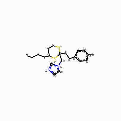 CCCCC1CCSC(CCc2ccc(C)cc2)(Cn2ccnc2)S1